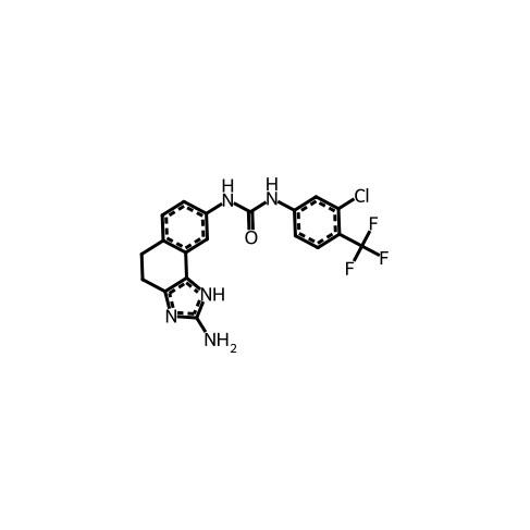 Nc1nc2c([nH]1)-c1cc(NC(=O)Nc3ccc(C(F)(F)F)c(Cl)c3)ccc1CC2